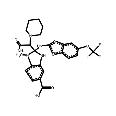 CN1c2ccc(C(=O)O)cc2NC1(Nc1nc2ccc(OC(F)(F)F)cc2s1)C(C(N)=O)N1CCCCC1